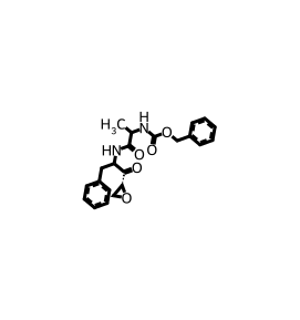 CC(NC(=O)OCc1ccccc1)C(=O)NC(Cc1ccccc1)C(=O)[C@H]1CO1